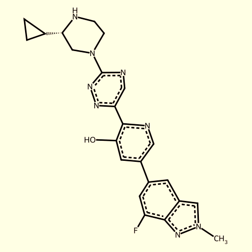 Cn1cc2cc(-c3cnc(-c4cnc(N5CCN[C@@H](C6CC6)C5)nn4)c(O)c3)cc(F)c2n1